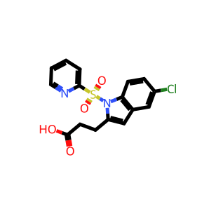 O=C(O)CCc1cc2cc(Cl)ccc2n1S(=O)(=O)c1ccccn1